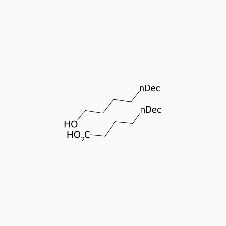 CCCCCCCCCCCCCC(=O)O.CCCCCCCCCCCCCCO